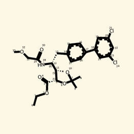 CCOC(=O)[C@H]1OC(C)(C)O[C@H]1[C@@H](Cc1ccc(-c2cc(Cl)cc(Cl)c2)cc1)NC(=O)COC